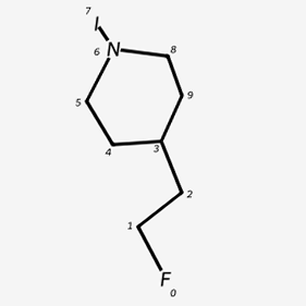 FCCC1CCN(I)CC1